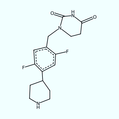 O=C1CCN(Cc2cc(F)c(C3CCNCC3)cc2F)C(=O)N1